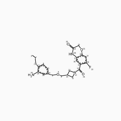 CCSc1ccc(COCC2CN(C(=O)c3cc4c(cc3F)OCC(=O)N4)C2)cc1N